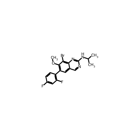 COc1c(-c2ccc(F)cc2F)cc2cnc(NC(C)C)nc2c1Br